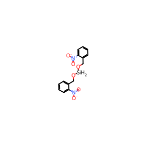 O=[N+]([O-])c1ccccc1CO[SiH2]OCc1ccccc1[N+](=O)[O-]